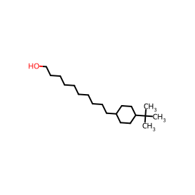 CC(C)(C)C1CCC(CCCCCCCCCCO)CC1